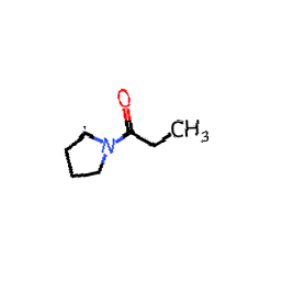 CCC(=O)N1[CH]CCC1